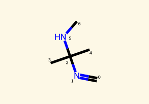 C=NC(C)(C)NC